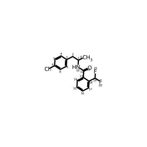 CC(Cc1ccc(Cl)cc1)NC(=O)c1ccccc1C(F)F